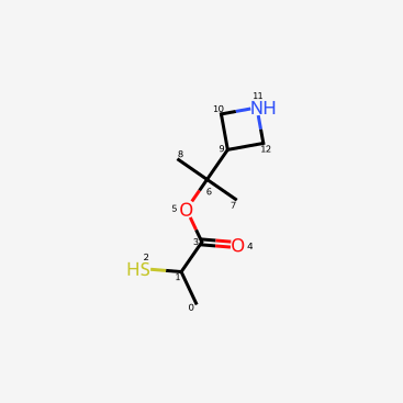 CC(S)C(=O)OC(C)(C)C1CNC1